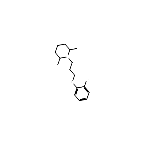 CC1CCCC(C)N1CCCNc1ccccc1C#N